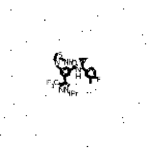 Cc1cc([C@@H](NC(=O)c2cc(CN3C=CSC3N)cc(-c3cn(C(C)C)nc3C(F)(F)F)c2)C2CC2)ccc1F